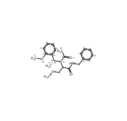 COCC(C(=O)NCc1ccccc1)N(C(C)=O)[C@H](C)c1ccccc1OC